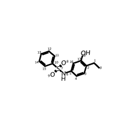 CCc1ccc(NS(=O)(=O)c2ccccc2)cc1O